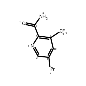 CC(C)c1cnc(C(N)=O)c(C(F)(F)F)c1